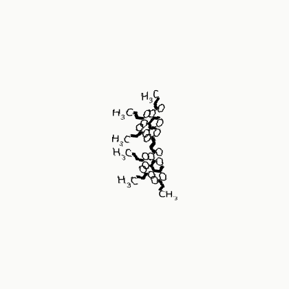 CCCC(=O)O[C@@H]1[C@@H](OC(=O)CCC)[C@H](OC(=O)/C=C/C(=O)O[C@@H]2OC[C@@H](OC(=O)CCC)[C@H](OC(=O)CCC)[C@H]2OC(=O)CCC)OC[C@H]1OC(=O)CCC